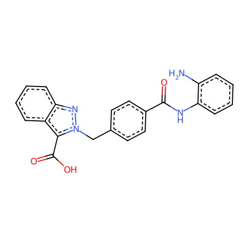 Nc1ccccc1NC(=O)c1ccc(Cn2nc3ccccc3c2C(=O)O)cc1